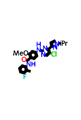 COc1cc(Nc2ncc(Cl)c(-c3ccn(C(C)C)n3)n2)ccc1C(=O)Nc1cccc(F)c1C